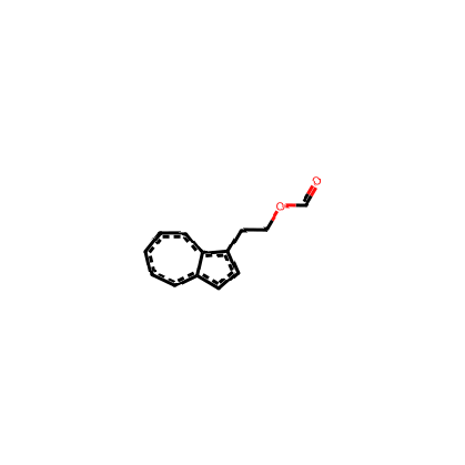 O=COCCc1ccc2cccccc1-2